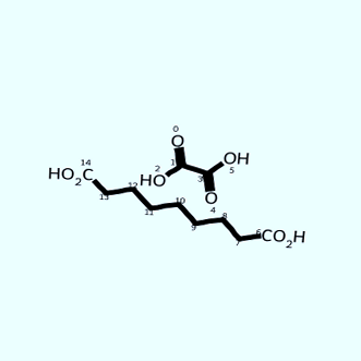 O=C(O)C(=O)O.O=C(O)CCCCCCCC(=O)O